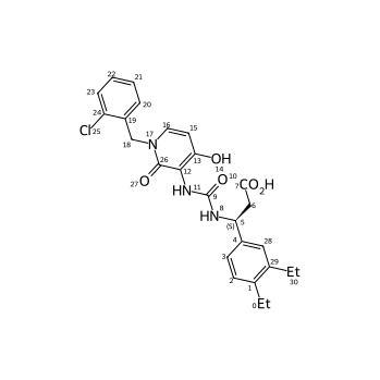 CCc1ccc([C@H](CC(=O)O)NC(=O)Nc2c(O)ccn(Cc3ccccc3Cl)c2=O)cc1CC